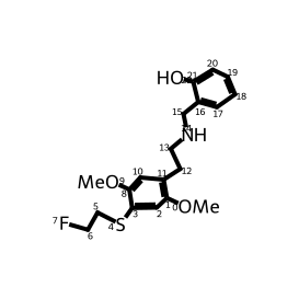 COc1cc(SCCF)c(OC)cc1CCNCc1ccccc1O